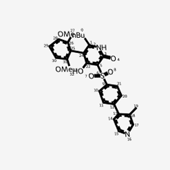 CCCCc1[nH]c(=O)c(S(=O)(=O)c2ccc(-c3ccncc3C)cc2)c(O)c1-c1c(OC)cccc1OC